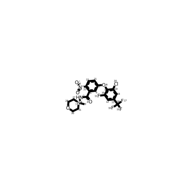 C[N+]1(NC(=O)c2cc(Oc3c(F)cc(C(F)(F)F)cc3Cl)ccc2[N+](=O)[O-])CCOCC1